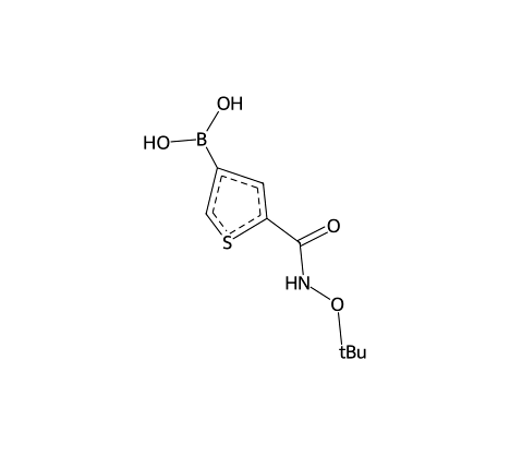 CC(C)(C)ONC(=O)c1cc(B(O)O)cs1